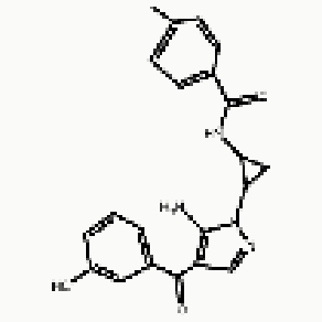 Cc1ccc(C(=O)NC2CC2n2ncc(C(=O)c3cccc(C#N)c3)c2N)cc1